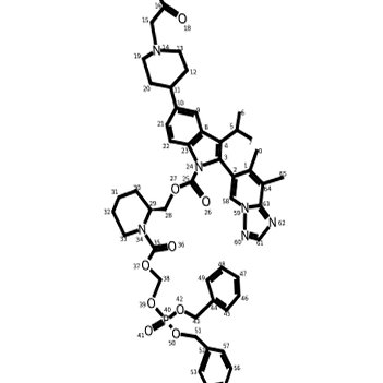 Cc1c(-c2c(C(C)C)c3cc(C4CCN(CC(N)=O)CC4)ccc3n2C(=O)OC[C@@H]2CCCCN2C(=O)OCOP(=O)(OCc2ccccc2)OCc2ccccc2)cn2ncnc2c1C